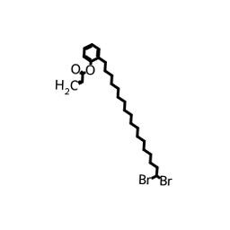 C=CC(=O)Oc1ccccc1CCCCCCCCCCCCCCCCCC(Br)Br